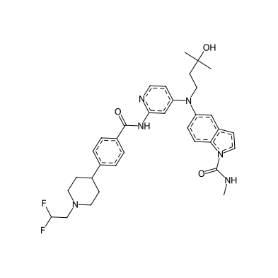 CNC(=O)n1ccc2cc(N(CCC(C)(C)O)c3ccnc(NC(=O)c4ccc(C5CCN(CC(F)F)CC5)cc4)c3)ccc21